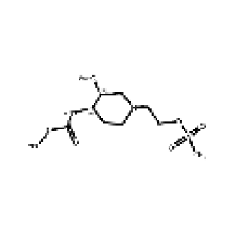 CO[C@H]1CN(CCOS(C)(=O)=O)CC[C@H]1NC(=O)OC(C)(C)C